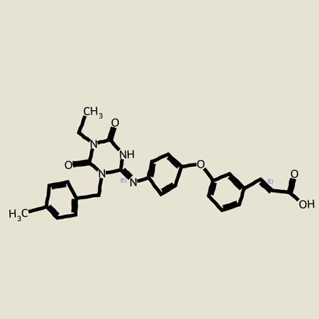 CCn1c(=O)[nH]/c(=N\c2ccc(Oc3cccc(/C=C/C(=O)O)c3)cc2)n(Cc2ccc(C)cc2)c1=O